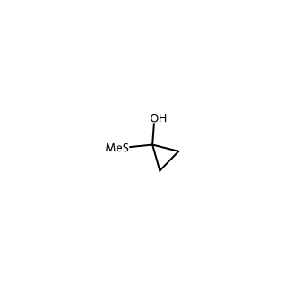 CSC1(O)CC1